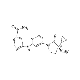 N#C[C@@]1(C2CC2)CCN(c2ccnc(Nc3cc(C(N)=O)ccn3)c2)C1=O